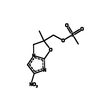 CC1(COS(C)(=O)=O)Cn2cc([N+](=O)[O-])nc2O1